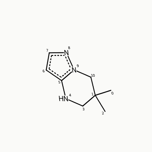 CC1(C)CNc2ccnn2C1